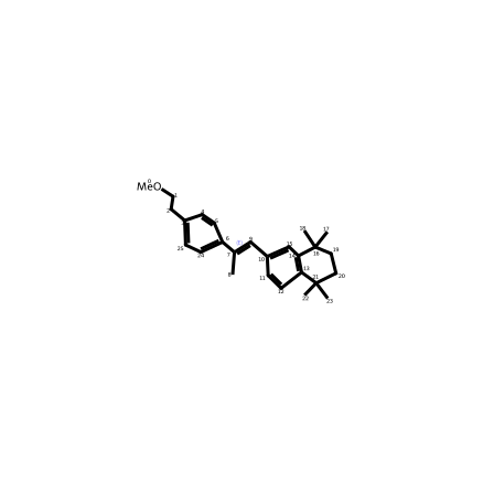 COCCc1ccc(/C(C)=C/c2ccc3c(c2)C(C)(C)CCC3(C)C)cc1